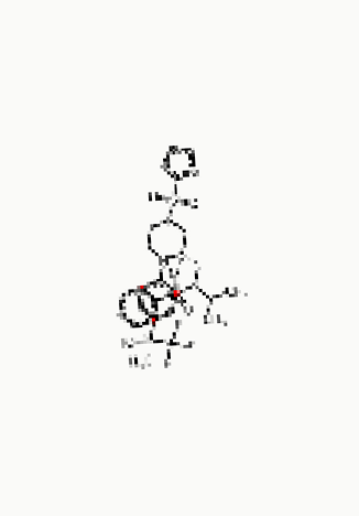 CC(C)N(C[C@H]1CN(S(=O)(=O)c2cccs2)CCN1c1ccc([C@](C)(O)C(F)(F)F)cc1)S(=O)(=O)c1ccccc1